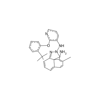 CC1=C(N)C23CN(Nc4cccnc4Oc4ccccc4C(C)(C)C)N=C2C=CC=C3C=C1